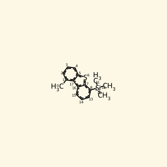 Cc1cccc2sc3c([Si](C)(C)C)cccc3c12